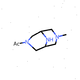 CC(=O)N1CC2CN(C)CC(C1)N2